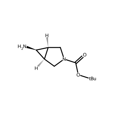 CC(C)(C)OC(=O)N1C[C@@H]2[C@H](N)[C@@H]2C1